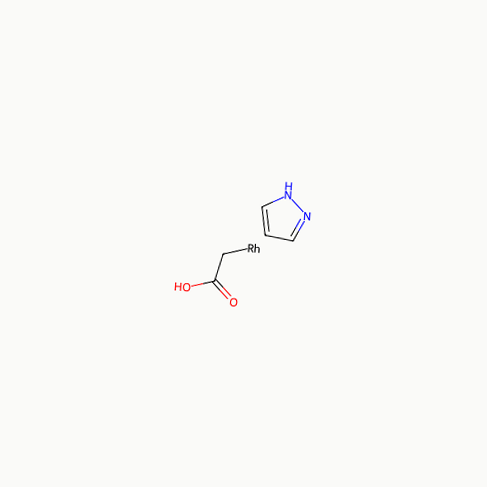 O=C(O)[CH2][Rh].c1cn[nH]c1